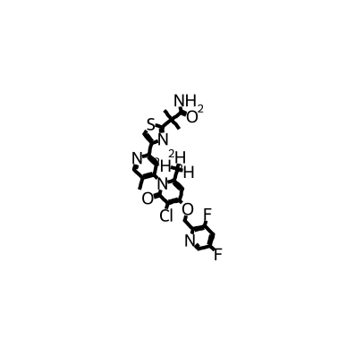 [2H]C([2H])([2H])c1cc(OCc2ncc(F)cc2F)c(Cl)c(=O)n1-c1cc(-c2csc(C(C)(C)C(N)=O)n2)ncc1C